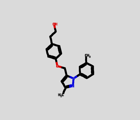 Cc1cccc(-n2nc(C)cc2COc2ccc(CCO)cc2)c1